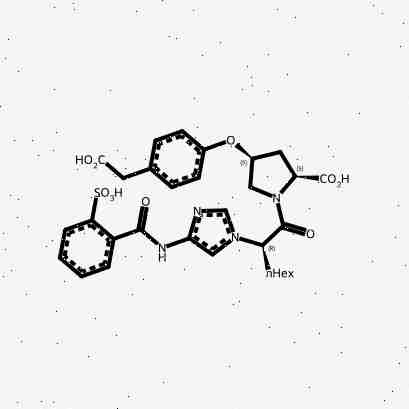 CCCCCC[C@H](C(=O)N1C[C@@H](Oc2ccc(CC(=O)O)cc2)C[C@H]1C(=O)O)n1cnc(NC(=O)c2ccccc2S(=O)(=O)O)c1